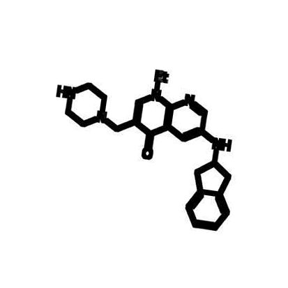 CCn1cc(CN2CCNCC2)c(=O)c2cc(NC3Cc4ccccc4C3)cnc21